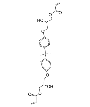 C=CC(=O)OCC(O)COc1ccc(C(C)(C)c2ccc(OCC(O)COC(=O)C=C)cc2)cc1